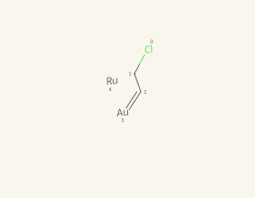 ClC[CH]=[Au].[Ru]